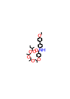 CCOc1ccc(-c2ccc(NC(=O)c3ccc(OC(C)COC(C)COC(C)COC(=O)C(C)CC)cc3)cc2)cc1